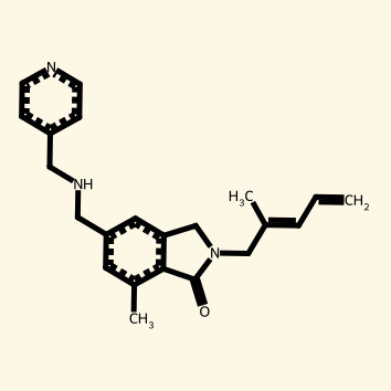 C=C/C=C(\C)CN1Cc2cc(CNCc3ccncc3)cc(C)c2C1=O